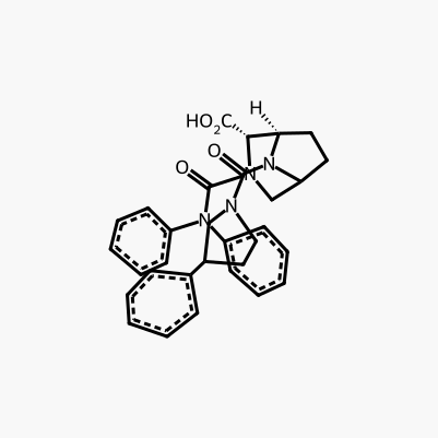 O=C(O)[C@@H]1[C@H]2CCC(CN1C(=O)N(c1ccccc1)c1ccccc1)N2C(=O)N1CCC(c2ccccc2)C1